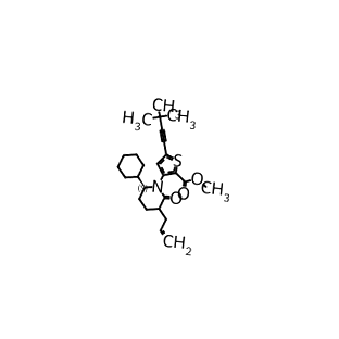 C=CCC1CC[C@@H](C2CCCCC2)N(c2cc(C#CC(C)(C)C)sc2C(=O)OC)C1=O